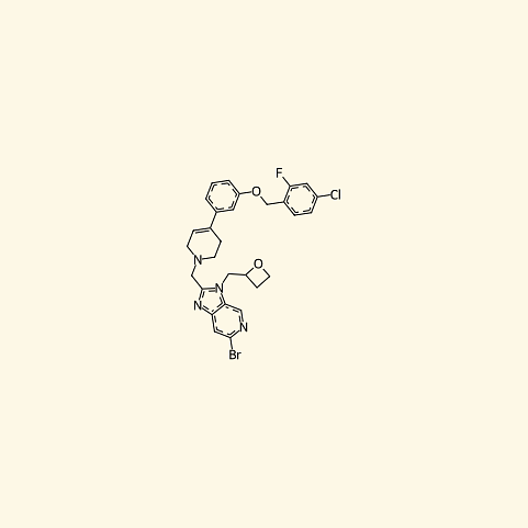 Fc1cc(Cl)ccc1COc1cccc(C2=CCN(Cc3nc4cc(Br)ncc4n3CC3CCO3)CC2)c1